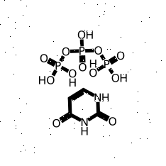 O=P(O)(O)OP(=O)(O)OP(=O)(O)O.O=c1cc[nH]c(=O)[nH]1